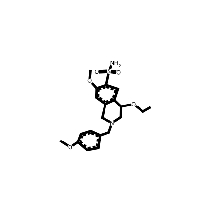 CCOC1CN(Cc2ccc(OC)cc2)Cc2cc(OC)c(S(N)(=O)=O)cc21